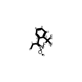 CCC(=NOC)c1ccccc1C(F)(F)F